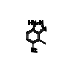 CCc1ccc2[nH]nnc2c1C